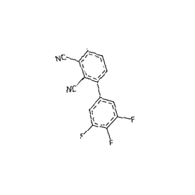 N#Cc1[c]ccc(-c2cc(F)c(F)c(F)c2)c1C#N